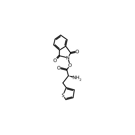 N[C@@H](Cc1cccs1)C(=O)ON1C(=O)c2ccccc2C1=O